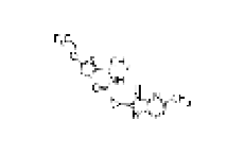 Cc1ccc2nc([C@H]3C[C@@H]3C(=O)NC(C)c3ccc(OCC(F)(F)F)s3)[nH]c2n1